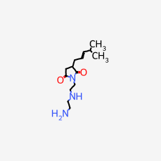 CC(C)/C=C/CC1CC(=O)N(CCNCCN)C1=O